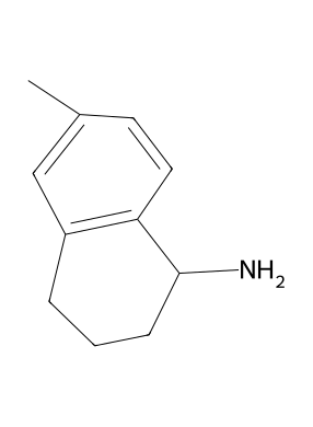 Cc1ccc2c(c1)CCCC2N